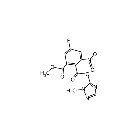 COC(=O)c1cc(F)cc([N+](=O)[O-])c1C(=O)Oc1ncnn1C